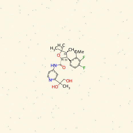 COc1c([C@H]2[C@H](C(=O)Nc3ccnc(C(C)(O)CO)c3)OC(C)(C)[C@H]2C)ccc(F)c1F